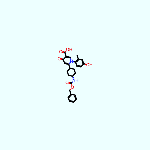 Cc1cc(O)ccc1-n1cc(C(=O)O)c(=O)cc1C1CCC(NC(=O)OCc2ccccc2)CC1